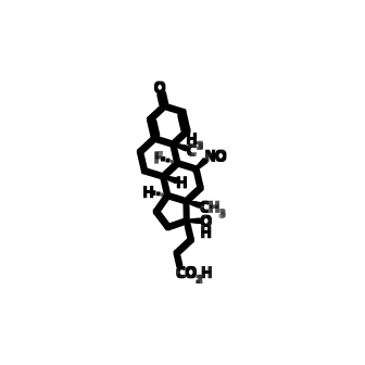 C[C@]12C=CC(=O)C=C1CC[C@H]1[C@@H]3CC[C@@](O)(CCC(=O)O)[C@@]3(C)C[C@H](N=O)[C@@]12F